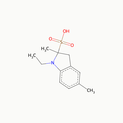 CCN1c2ccc(C)cc2CC1(C)S(=O)(=O)O